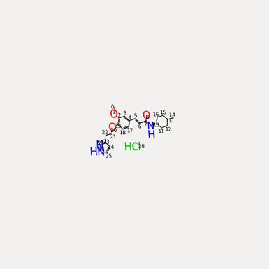 COc1cc(C=CC(=O)N[C@H]2CC[C@H](C)CC2)ccc1OCCc1cc[nH]n1.Cl